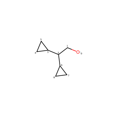 [O]CC(C1CC1)C1CC1